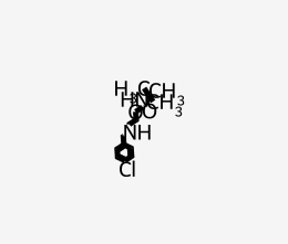 CC(C)(C)NC(=O)OCCNCc1ccc(Cl)cc1